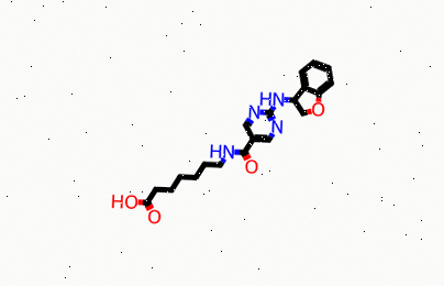 O=C(O)CCCCCCNC(=O)c1cnc(NC2COc3ccccc32)nc1